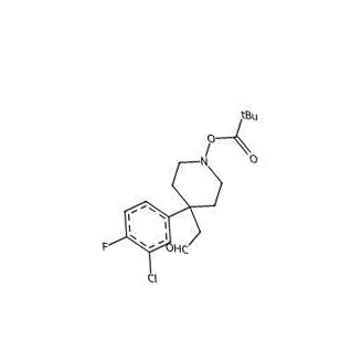 CC(C)(C)C(=O)ON1CCC(CC=O)(c2ccc(F)c(Cl)c2)CC1